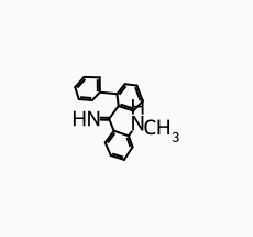 CNc1ccccc1C(=N)c1ccccc1-c1ccccc1